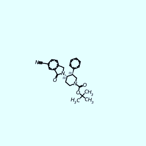 CC(C)(C)OC(=O)N1CC[C@H](N2Cc3ccc(C#N)cc3C2=O)[C@@H](c2ccccc2)C1